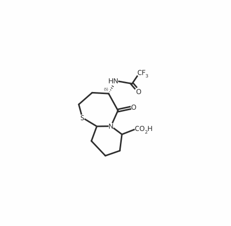 O=C(O)C1CCCC2SCC[C@H](NC(=O)C(F)(F)F)C(=O)N21